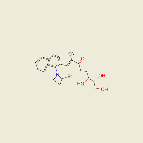 CCC1CCN1c1c(/C=C(\C#N)C(=O)CCC(O)C(O)CO)ccc2ccccc12